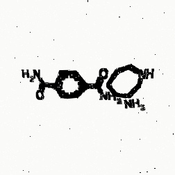 C1CCCNCC1.N.NC(=O)c1ccc(C(N)=O)cc1